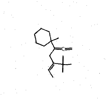 C=C=C(CC(=CC)C(C)(C)C)C1(C)CCCCC1